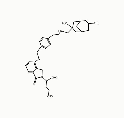 CC1CC2CC(C1)CC(C)(CNCCc1ccc(CSc3cccc4c3CN(C(C=O)CCC=O)C4=O)cc1)C2